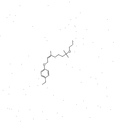 CCCOC(C)(C)CCCC(C)=CCOc1ccc(CC)cc1